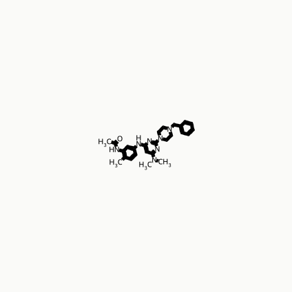 CC(=O)Nc1cc(Nc2cc(N(C)C)nc(N3CCN(Cc4ccccc4)CC3)n2)ccc1C